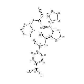 O=C(OCc1ccccc1)N1CCC[C@@H]1C(=O)N1CCC[C@H]1C(O)C[S+]([O-])c1ccc([N+](=O)[O-])cc1